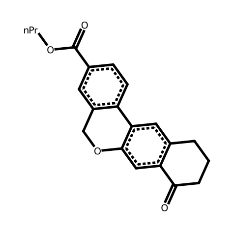 CCCOC(=O)c1ccc2c(c1)COc1cc3c(cc1-2)CCCC3=O